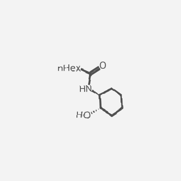 CCCCCCC(=O)N[C@H]1CCCC[C@@H]1O